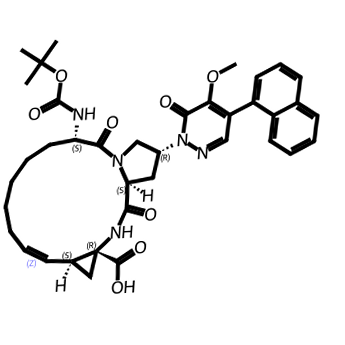 COc1c(-c2cccc3ccccc23)cnn([C@@H]2C[C@H]3C(=O)N[C@]4(C(=O)O)C[C@H]4/C=C\CCCCC[C@H](NC(=O)OC(C)(C)C)C(=O)N3C2)c1=O